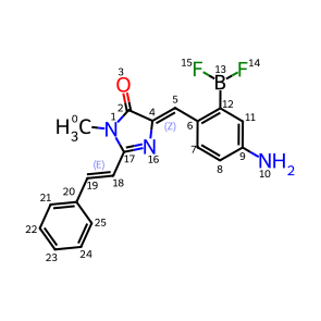 CN1C(=O)/C(=C/c2ccc(N)cc2B(F)F)N=C1/C=C/c1ccccc1